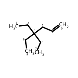 C=CCC(CC)(CC)CC